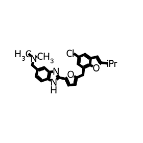 CC(C)c1cc2cc(Cl)cc(Cc3ccc(-c4nc5cc(CN(C)C)ccc5[nH]4)o3)c2o1